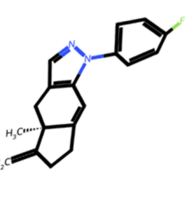 C=C1CCC2=Cc3c(cnn3-c3ccc(F)cc3)C[C@]12C